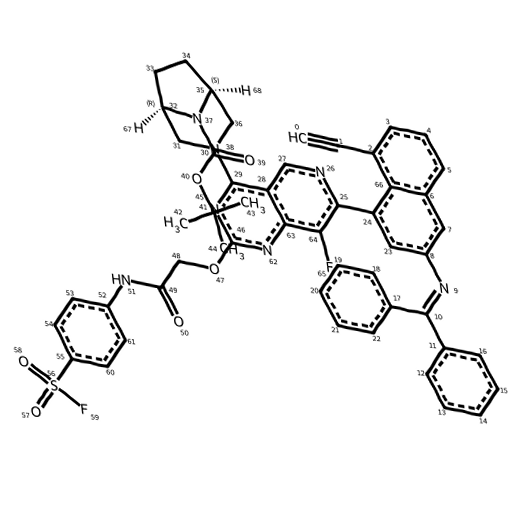 C#Cc1cccc2cc(N=C(c3ccccc3)c3ccccc3)cc(-c3ncc4c(N5C[C@H]6CC[C@@H](C5)N6C(=O)OC(C)(C)C)nc(OCC(=O)Nc5ccc(S(=O)(=O)F)cc5)nc4c3F)c12